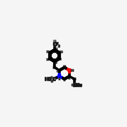 CSC[C@H]1CN(C(=O)O)[C@@H](Cc2ccc(C(F)(F)F)cc2)CO1